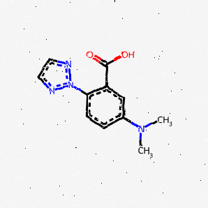 CN(C)c1ccc(-n2nccn2)c(C(=O)O)c1